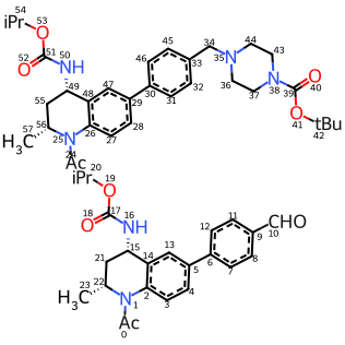 CC(=O)N1c2ccc(-c3ccc(C=O)cc3)cc2[C@@H](NC(=O)OC(C)C)C[C@H]1C.CC(=O)N1c2ccc(-c3ccc(CN4CCN(C(=O)OC(C)(C)C)CC4)cc3)cc2[C@@H](NC(=O)OC(C)C)C[C@H]1C